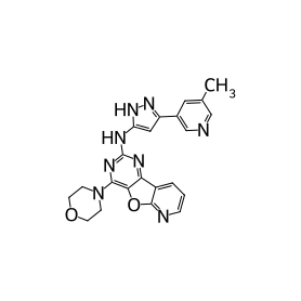 Cc1cncc(-c2cc(Nc3nc(N4CCOCC4)c4oc5ncccc5c4n3)[nH]n2)c1